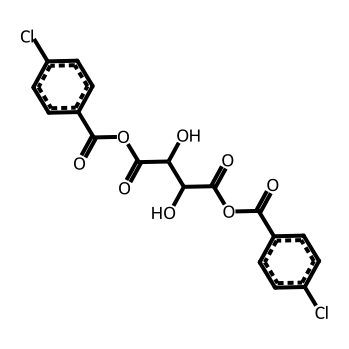 O=C(OC(=O)C(O)C(O)C(=O)OC(=O)c1ccc(Cl)cc1)c1ccc(Cl)cc1